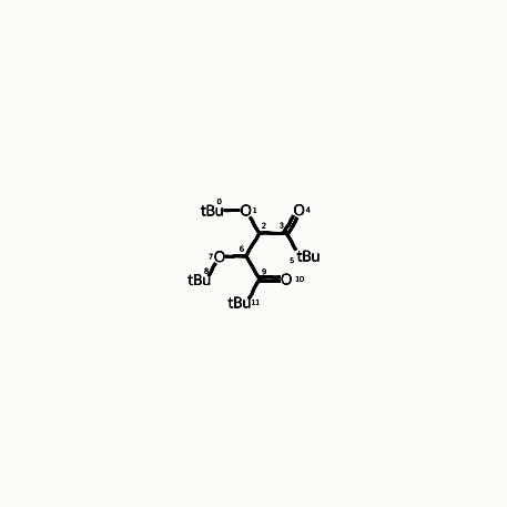 CC(C)(C)OC(C(=O)C(C)(C)C)C(OC(C)(C)C)C(=O)C(C)(C)C